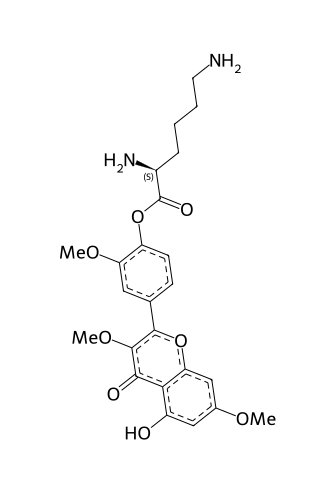 COc1cc(O)c2c(=O)c(OC)c(-c3ccc(OC(=O)[C@@H](N)CCCCN)c(OC)c3)oc2c1